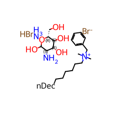 Br.CCCCCCCCCCCCCCCC[N+](C)(C)Cc1ccccc1.N.N[C@@H]1C(O)O[C@H](CO)[C@@H](O)[C@@H]1O.[Br-]